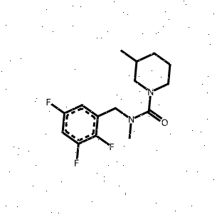 CC1CCCN(C(=O)N(C)Cc2cc(F)cc(F)c2F)C1